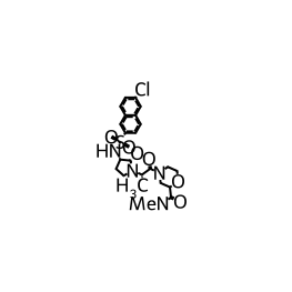 CNC(=O)C1CN(C(=O)[C@H](C)N2CC[C@H](NS(=O)(=O)c3ccc4cc(Cl)ccc4c3)C2=O)CCO1